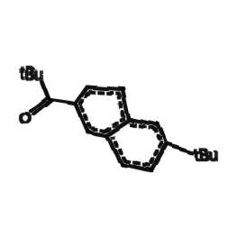 CC(C)(C)C(=O)c1ccc2cc(C(C)(C)C)ccc2c1